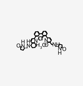 COc1nc(-c2cccc(-c3cccc(-c4ccc5c(n4)CCC[C@@H]5NC[C@H]4CCC(=O)N4)c3Cl)c2Cl)ccc1CNC[C@H]1CCC(=O)N1